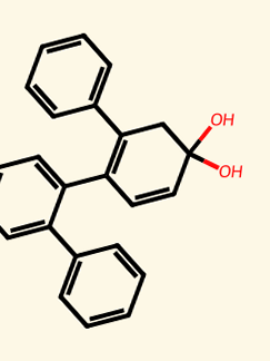 OC1(O)C=CC(c2ccccc2-c2ccccc2)=C(c2ccccc2)C1